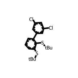 CC(C)(C)Sc1cccc(-c2cc(Cl)cc(Cl)c2)c1SC(C)(C)C